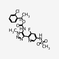 C[C@@H](OC(=O)Nc1c(-c2ncc(NS(C)(=O)=O)cc2F)nnn1C)c1ccccc1Cl